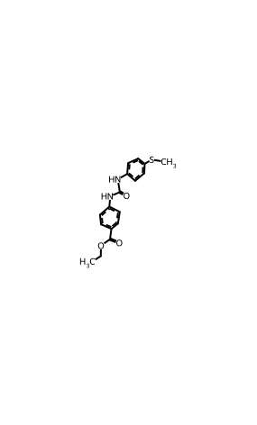 CCOC(=O)c1ccc(NC(=O)Nc2ccc(SC)cc2)cc1